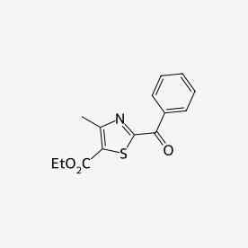 CCOC(=O)c1sc(C(=O)c2ccccc2)nc1C